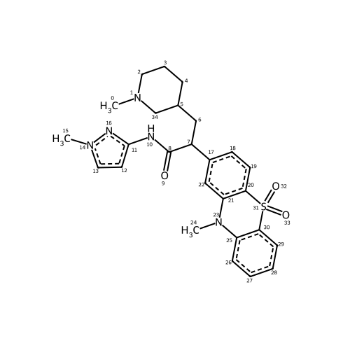 CN1CCCC(CC(C(=O)Nc2ccn(C)n2)c2ccc3c(c2)N(C)c2ccccc2S3(=O)=O)C1